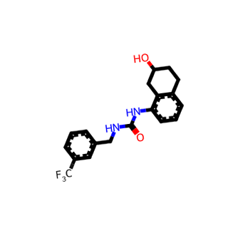 O=C(NCc1cccc(C(F)(F)F)c1)Nc1cccc2c1CC(O)CC2